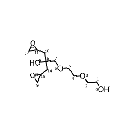 OCCOCCOCC(O)(CC1CO1)CC1CO1